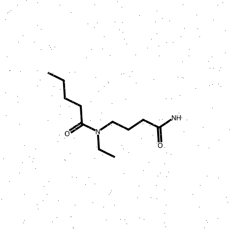 CCCCC(=O)N(CC)CCCC([NH])=O